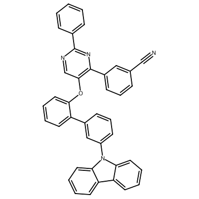 N#Cc1cccc(-c2nc(-c3ccccc3)ncc2Oc2ccccc2-c2cccc(-n3c4ccccc4c4ccccc43)c2)c1